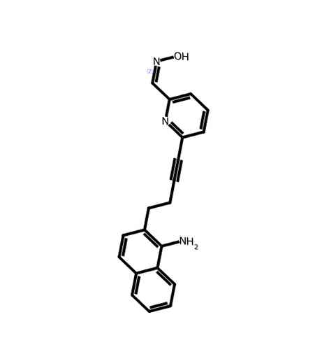 Nc1c(CCC#Cc2cccc(/C=N\O)n2)ccc2ccccc12